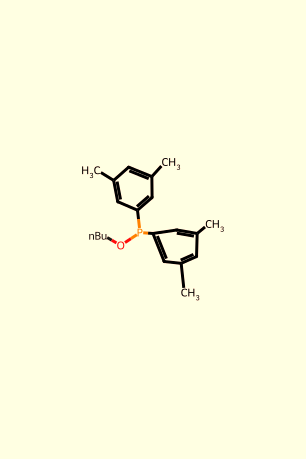 CCCCOP(c1cc(C)cc(C)c1)c1cc(C)cc(C)c1